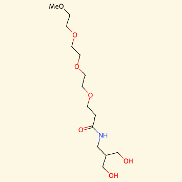 COCCOCCOCCOCCC(=O)NCC(CO)CO